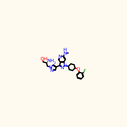 CNc1cc2c(cn1)c(-c1cnn(C[C@@H](N)CO)c1)nn2C1CCC(Oc2ccccc2F)CC1